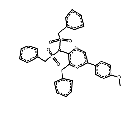 COc1ccc(-c2cnc(N(S(=O)(=O)Cc3ccccc3)S(=O)(=O)Cc3ccccc3)c(Cc3ccccc3)n2)cc1